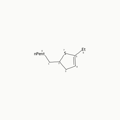 CCCCCCC1CC=C(CC)S1